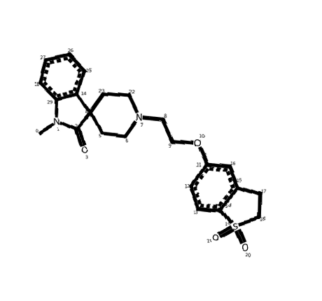 CN1C(=O)C2(CCN(CCOc3ccc4c(c3)CCS4(=O)=O)CC2)c2ccccc21